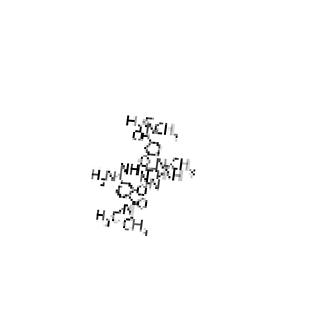 CCN(CC)C(=O)c1ccc(C(=N)N)cc1Oc1nc(Oc2cccc(C(=O)N(C)C)c2)c2nc(C)[nH]c2n1